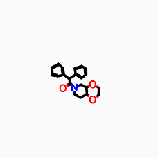 O=C(C(c1ccccc1)c1ccccc1)N1CCC2OCCOC2C1